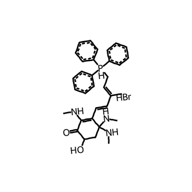 Br.CNC1=C(C=CC(C)=CC[PH](c2ccccc2)(c2ccccc2)c2ccccc2)C(NC)(NC)CC(O)C1=O